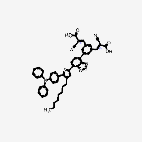 CCCCCCCCc1cc(-c2ccc(-c3cc(/C=C(\C#N)C(=O)O)cc(/C=C(\C#N)C(=O)O)c3)c3nsnc23)sc1-c1ccc(N(c2ccccc2)c2ccccc2)cc1